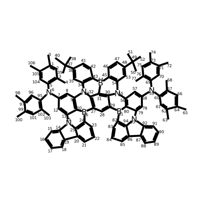 Cc1cc(C)c(N(c2cc3c4c(c2)-n2c5ccccc5c5cccc(c52)B4c2cc4c5c6c2N3c2cc(C(C)(C)C)ccc2B6c2ccc(C(C)(C)C)cc2N5c2cc(N(c3cc(C)c(C)cc3C)c3cc(C)c(C)cc3C)cc3c2B4c2cccc4c5ccccc5n-3c24)c2cc(C)c(C)cc2C)cc1C